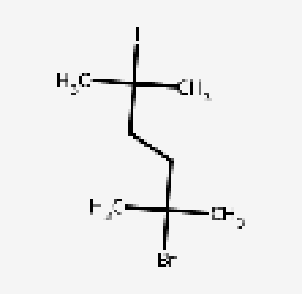 CC(C)(Br)CCC(C)(C)I